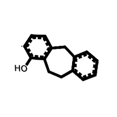 Oc1[c]ccc2c1CCc1ccccc1C2